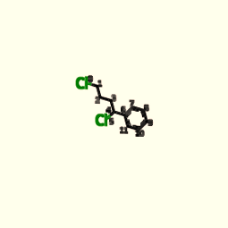 ClCCCC(Cl)c1ccccc1